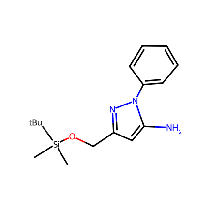 CC(C)(C)[Si](C)(C)OCc1cc(N)n(-c2ccccc2)n1